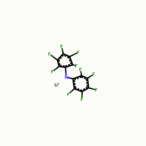 Fc1c(F)c(F)c([N-]c2c(F)c(F)c(F)c(F)c2F)c(F)c1F.[Li+]